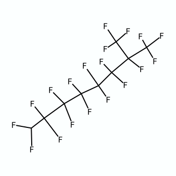 FC(F)C(F)(F)C(F)(F)C(F)(F)C(F)(F)C(F)(F)C(F)(C(F)(F)F)C(F)(F)F